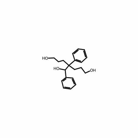 OCCCC(CCCO)(c1ccccc1)C(O)c1ccccc1